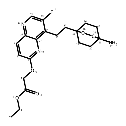 CCOC(=O)COc1ccc2ncc(F)c(CCC34CCC(N)(CC3)CO4)c2n1